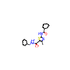 Cc1nc(NC(=O)c2ccccc2)sc1C(=O)NCc1ccccc1